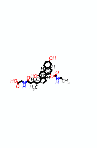 CCNC(=O)O[C@@H]1C[C@@H]2C[C@H](O)CC[C@]2(C)[C@H]2C[C@H](O)[C@]3(C)[C@@H]([C@H](C)CCC(=O)NCC(=O)O)CC[C@H]3[C@H]12